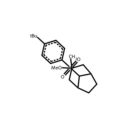 COC1(C)CC2CCC(C1)C2S(=O)(=O)c1ccc(C(C)(C)C)cc1